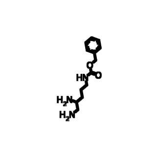 NCC(N)CCCNC(=O)OCc1ccccc1